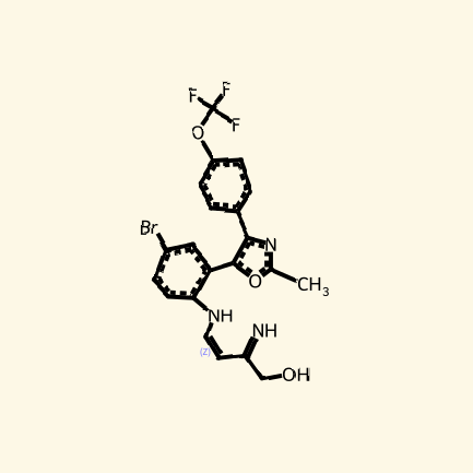 Cc1nc(-c2ccc(OC(F)(F)F)cc2)c(-c2cc(Br)ccc2N/C=C\C(=N)CO)o1